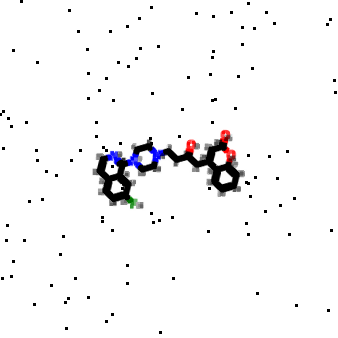 O=C(CCN1CCN(c2nccc3ccc(F)cc23)CC1)Cc1cc(=O)oc2ccccc12